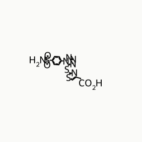 NS(=O)(=O)c1ccc(-n2nnnc2Sc2nc(CC(=O)O)cs2)cc1